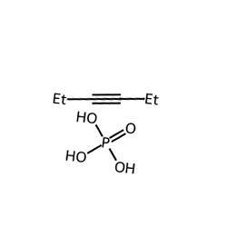 CCC#CCC.O=P(O)(O)O